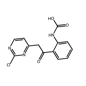 O=C(O)Nc1ccccc1C(=O)Cc1ccnc(Cl)n1